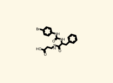 O=C(O)CCNC(=O)C(Cc1ccccc1)NC(=O)Nc1ccc(Br)cc1